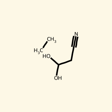 CC.N#CCC(O)O